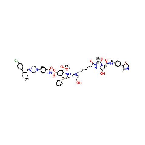 Cc1ncsc1-c1ccc([C@H](C)NC(=O)[C@@H]2C[C@@H](O)CN2C(=O)[C@@H](NC(=O)CCCCCCN(CCO)CC[C@H](CSc2ccccc2)Nc2ccc(S(=O)(=O)NC(=O)c3ccc(N4CCN(CC5=C(c6ccc(Cl)cc6)CCC(C)(C)C5)CC4)cc3)cc2S(=O)(=O)C(F)(F)F)C(C)(C)C)cc1